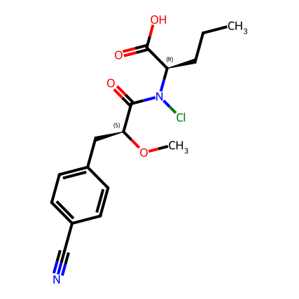 CCC[C@H](C(=O)O)N(Cl)C(=O)[C@H](Cc1ccc(C#N)cc1)OC